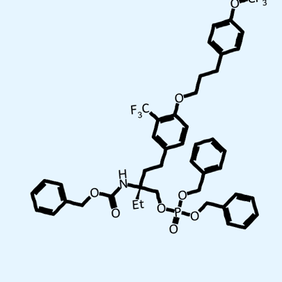 CC[C@@](CCc1ccc(OCCCc2ccc(OC(F)(F)F)cc2)c(C(F)(F)F)c1)(COP(=O)(OCc1ccccc1)OCc1ccccc1)NC(=O)OCc1ccccc1